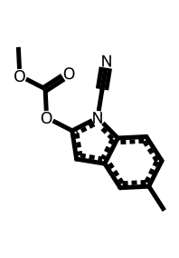 COC(=O)Oc1cc2cc(C)ccc2n1C#N